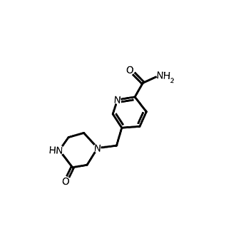 NC(=O)c1ccc(CN2CCNC(=O)C2)cn1